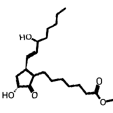 CCCCCC(O)C=C[C@@H]1C[C@@H](O)C(=O)C1CCCCCCC(=O)OC